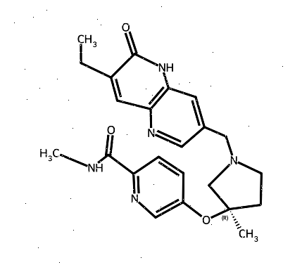 CCc1cc2ncc(CN3CC[C@@](C)(Oc4ccc(C(=O)NC)nc4)C3)cc2[nH]c1=O